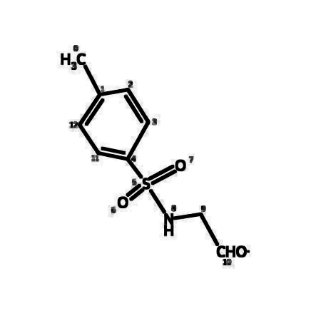 Cc1ccc(S(=O)(=O)NC[C]=O)cc1